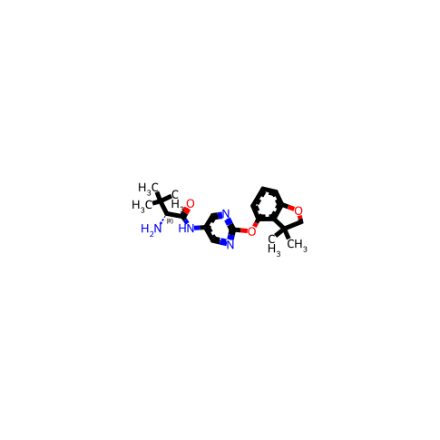 CC1(C)COc2cccc(Oc3ncc(NC(=O)[C@H](N)C(C)(C)C)cn3)c21